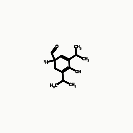 [2H]C1(C=O)C=C(C(C)C)C(O)=C(C(C)C)C1